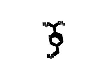 C=CC1CN2CCC1CC2C(C)C